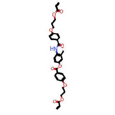 C=CC(=O)OCCCOc1ccc(C(=O)Nc2ccc(OC(=O)c3ccc(OCCCOC(=O)C=C)cc3)cc2C)cc1